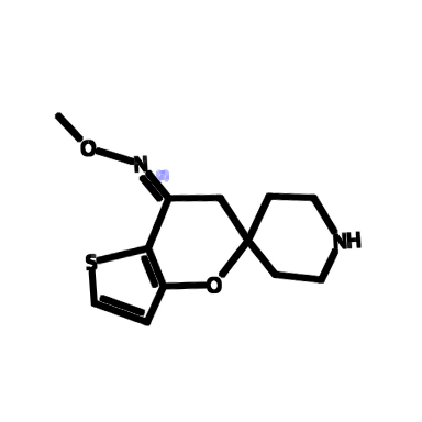 CO/N=C1/CC2(CCNCC2)Oc2ccsc21